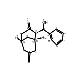 C=C1C[C@@H]2CC(=O)[C@@H](C(O)c3ccccc3)[C@H](C1)C2